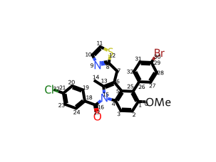 COc1ccc2c(c(Cc3nccs3)c(C)n2C(=O)c2ccc(Cl)cc2)c1-c1ccc(Br)cc1